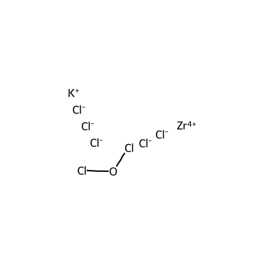 ClOCl.[Cl-].[Cl-].[Cl-].[Cl-].[Cl-].[K+].[Zr+4]